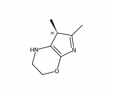 CC1=NC2=C(NCCO2)[C@H]1C